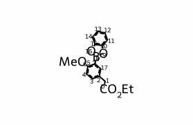 CCOC(=O)Cc1ccc(OC)c(B2Oc3ccccc3O2)c1